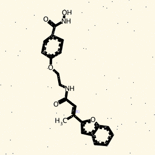 C/C(=C\C(=O)NCCOc1ccc(C(=O)NO)cc1)c1cc2ccccc2o1